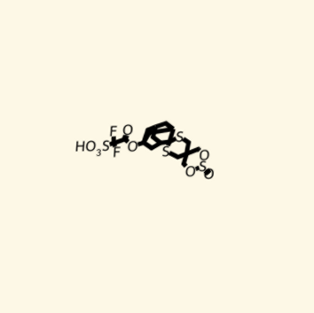 O=C(OC12CC3CC(C1)C1(SCC4(COS(=O)OC4)CS1)C(C3)C2)C(F)(F)S(=O)(=O)O